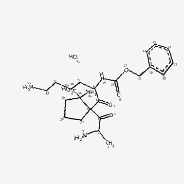 CC(N)C(=O)C1(C(=O)C(CCCCN)NC(=O)OCc2ccccc2)CCCC1(N)C(=O)O.Cl